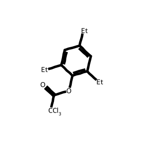 CCc1cc(CC)c(OC(=O)C(Cl)(Cl)Cl)c(CC)c1